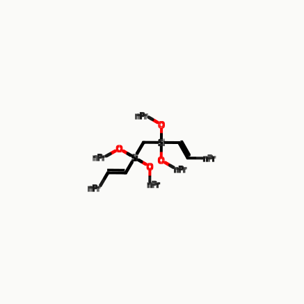 CCCC=C[Si](C[Si](C=CCCC)(OCCC)OCCC)(OCCC)OCCC